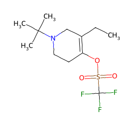 CCC1=C(OS(=O)(=O)C(F)(F)F)CCN(C(C)(C)C)C1